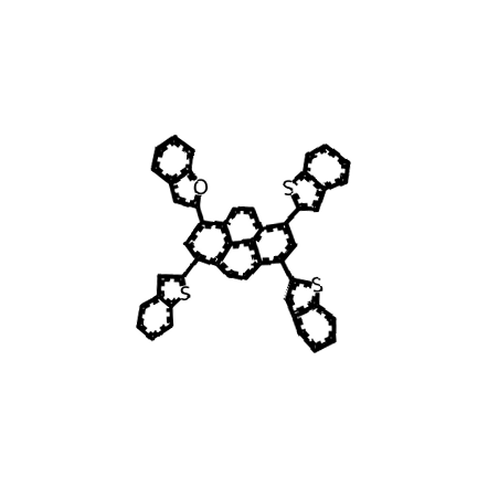 c1ccc2oc(-c3cc(-c4cc5ccccc5s4)c4ccc5c(-c6cc7ccccc7s6)cc(-c6cc7ccccc7s6)c6ccc3c4c65)cc2c1